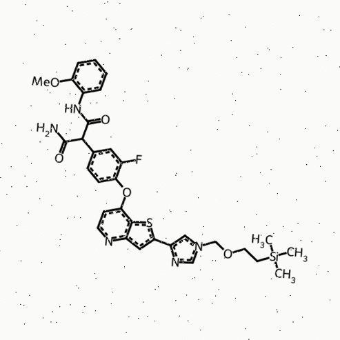 COc1ccccc1NC(=O)C(C(N)=O)c1ccc(Oc2ccnc3cc(-c4cn(COCC[Si](C)(C)C)cn4)sc23)c(F)c1